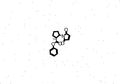 O=C(Oc1ccccc1)[C@H]1CCC[C@@H]1N1C(=O)C=CC1=O